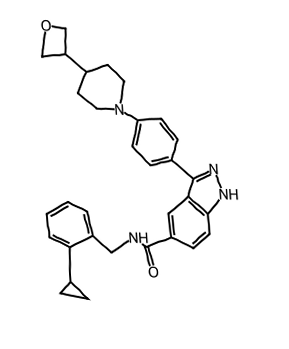 O=C(NCc1ccccc1C1CC1)c1ccc2[nH]nc(-c3ccc(N4CCC(C5COC5)CC4)cc3)c2c1